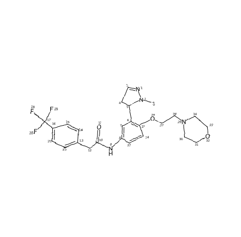 CN1N=CCC1c1cc(NC(=O)Cc2ccc(C(F)(F)F)cc2)ccc1OCCN1CCOCC1